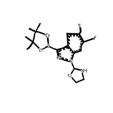 CC1(C)OB(c2nn(C3NCCO3)c3cc(F)c(F)cc23)OC1(C)C